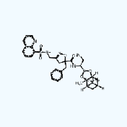 CC(C)C[C@H](NC(=O)C1(Cc2ccccc2)CC(CNS(=O)(=O)c2cccc3cccnc23)=NO1)B1O[C@@H]2C[C@@H]3C[C@@H](C3(C)C)[C@]2(C)O1